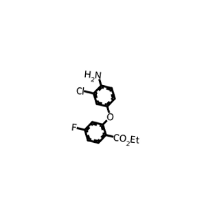 CCOC(=O)c1ccc(F)cc1Oc1ccc(N)c(Cl)c1